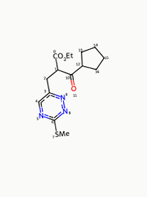 CCOC(=O)C(Cc1cnc(SC)nn1)C(=O)C1CCCC1